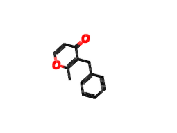 Cc1occc(=O)c1Cc1ccccc1